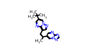 CC(Cc1cnn2cc(C(C)(C)C)cnc12)c1cnc2ncnn2c1